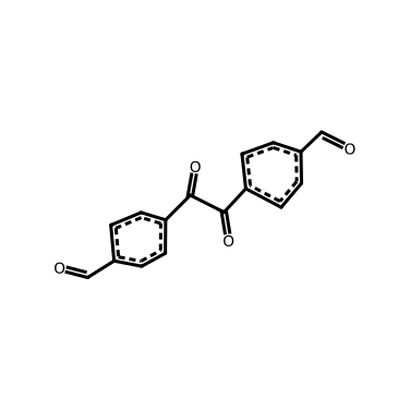 O=Cc1ccc(C(=O)C(=O)c2ccc(C=O)cc2)cc1